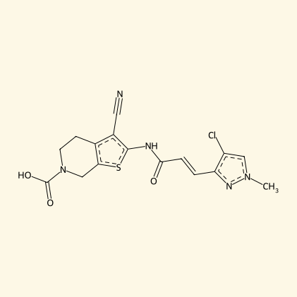 Cn1cc(Cl)c(C=CC(=O)Nc2sc3c(c2C#N)CCN(C(=O)O)C3)n1